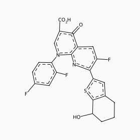 O=C(O)c1cn(-c2ccc(F)cc2F)c2nc(-c3cc4c(s3)C(O)CCC4)c(F)cc2c1=O